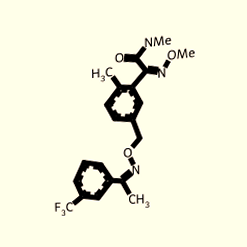 CNC(=O)/C(=N\OC)c1cc(CO/N=C(/C)c2cccc(C(F)(F)F)c2)ccc1C